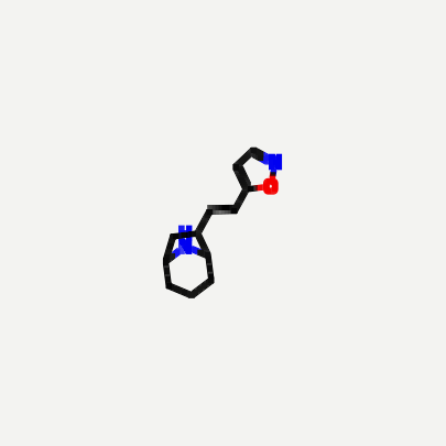 C(=CC1CC2CCCC1N2)c1ccno1